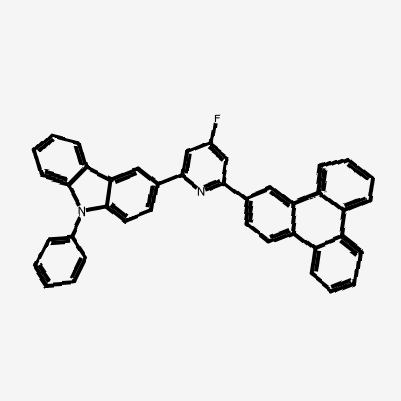 Fc1cc(-c2ccc3c4ccccc4c4ccccc4c3c2)nc(-c2ccc3c(c2)c2ccccc2n3-c2ccccc2)c1